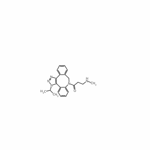 CNCCC(=O)N1Cc2ccccc2-c2nnn(C(C)C)c2-c2ccccc21